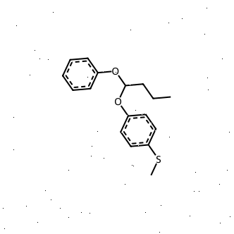 CCCC(Oc1ccccc1)Oc1ccc(SC)cc1